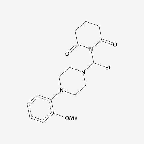 CCC(N1CCN(c2ccccc2OC)CC1)N1C(=O)CCCC1=O